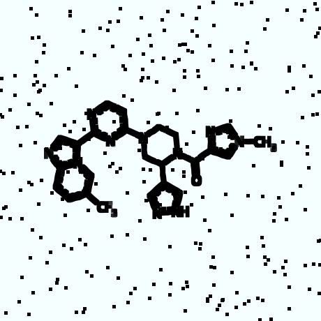 Cn1cnc(C(=O)N2CCN(c3ccnc(-c4cnc5ccc(C(F)(F)F)cn45)n3)CC2c2cn[nH]c2)c1